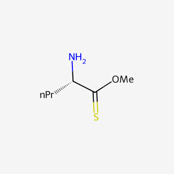 CCC[C@H](N)C(=S)OC